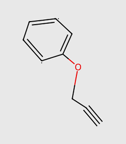 C#CCOc1[c]cc[c]c1